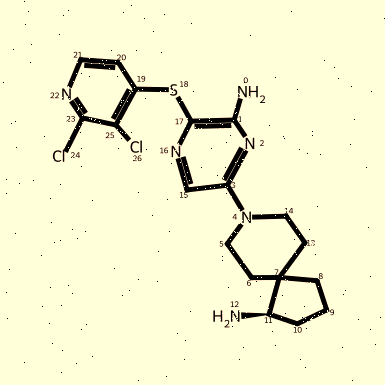 Nc1nc(N2CCC3(CCC[C@H]3N)CC2)cnc1Sc1ccnc(Cl)c1Cl